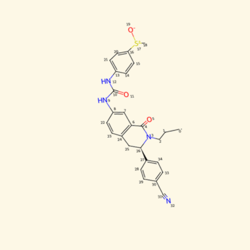 [CH2]CCN1C(=O)c2cc(NC(=O)Nc3ccc([S+](C)[O-])cc3)ccc2C[C@@H]1c1ccc(C#N)cc1